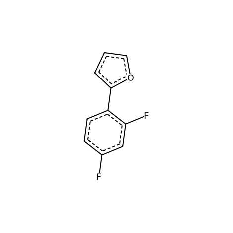 Fc1ccc(-c2ccco2)c(F)c1